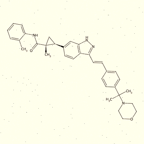 Cc1ccccc1NC(=O)[C@]1(C)C[C@H]1c1ccc2c(/C=C/c3ccc(C(C)(C)N4CCOCC4)cc3)n[nH]c2c1